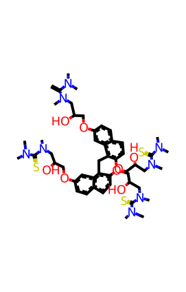 C=C(N(C)C)N(C)CC(O)COc1ccc2ccc(OCC(O)CN(C)C(=S)N(C)C)c(Cc3c(OCC(O)CN(C)C(=S)N(C)C)ccc4ccc(OCC(O)CN(C)C(=S)N(C)C)cc34)c2c1